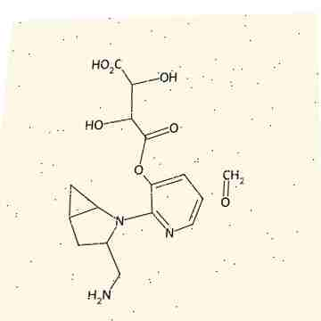 C=O.NCC1CC2CC2N1c1ncccc1OC(=O)C(O)C(O)C(=O)O